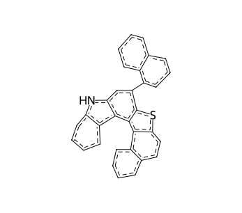 c1ccc2c(-c3cc4[nH]c5ccccc5c4c4c3sc3ccc5ccccc5c34)cccc2c1